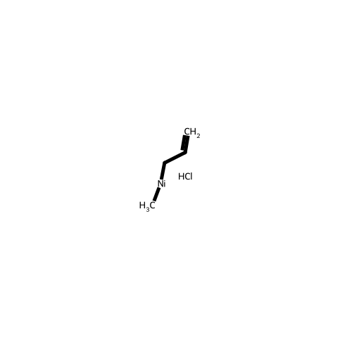 C=C[CH2][Ni][CH3].Cl